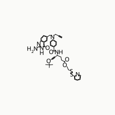 C#CCN(Cc1ccc2nc(N)[nH]c(=O)c2c1)c1ccc(C(=O)NC(C#COC(C)(C)C)CCC(=O)OCCSSc2ccccn2)cc1